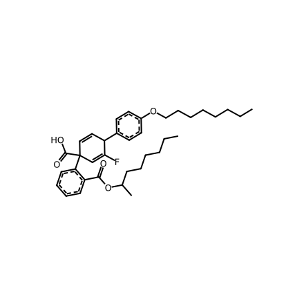 CCCCCCCCOc1ccc(C2C=CC(C(=O)O)(c3ccccc3C(=O)OC(C)CCCCCC)C=C2F)cc1